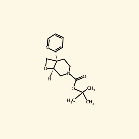 CC(C)(C)OC(=O)N1CC[C@]2(c3ccccn3)CO[C@@H]2C1